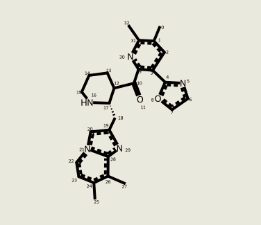 Cc1cc(-c2ncco2)c(C(=O)C2CCCN[C@H]2Cc2cn3ccc(C)c(C)c3n2)nc1C